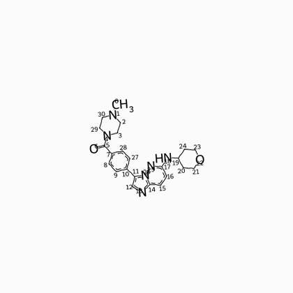 CN1CCN(C(=O)c2ccc(-c3cnc4ccc(NC5CCOCC5)nn34)cc2)CC1